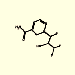 NC(=O)C1=CC=NN(C(F)C(O)C(F)F)C1